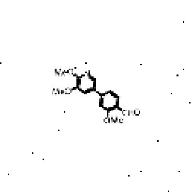 COc1cc(-c2cnc(OC)c(OC)c2)ccc1C=O